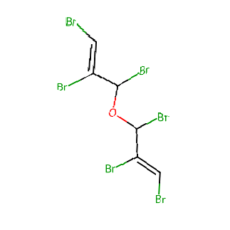 BrC=C(Br)C(Br)OC(Br)C(Br)=CBr